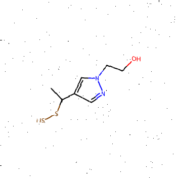 CC(SS)c1cnn(CCO)c1